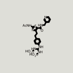 CC(=O)Nc1nc(CCc2ccc(NC(NC(=O)O)NC(=O)O)cc2)c(C(=O)NCc2cccnc2)s1